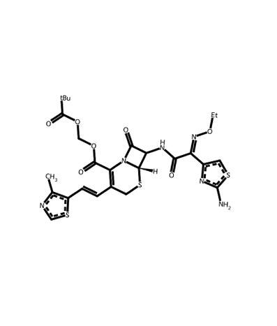 CCON=C(C(=O)NC1C(=O)N2C(C(=O)OCOC(=O)C(C)(C)C)=C(C=Cc3scnc3C)CS[C@@H]12)c1csc(N)n1